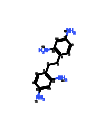 Nc1ccc(CCc2ccc(N)cc2N)c(N)c1